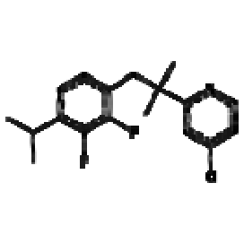 CC(C)c1ccc(CC(C)(C)c2cc(Cl)ccn2)c(F)c1F